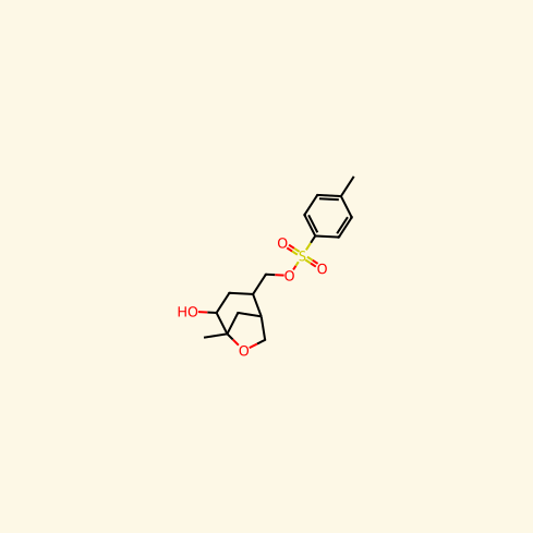 Cc1ccc(S(=O)(=O)OCC2CC(O)C3(C)CC2CO3)cc1